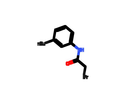 CCCCc1cccc(NC(=O)CC(C)C)c1